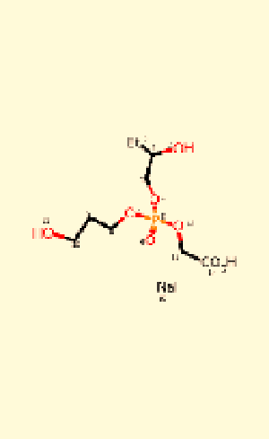 CCC(O)COP(=O)(OCCCO)OCC(=O)O.[NaH]